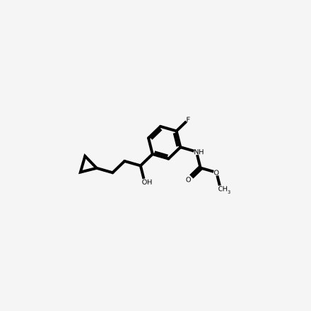 COC(=O)Nc1cc(C(O)CCC2CC2)ccc1F